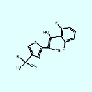 CCC(C)(C)c1csc(C(C#N)=C(O)c2c(F)cccc2F)n1